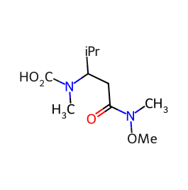 CON(C)C(=O)CC(C(C)C)N(C)C(=O)O